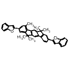 Cc1cc(-c2cc3ccccc3o2)cc2c1-c1cc3c(cc1C2(C)C)-c1ccc(-c2cc4ccccc4o2)cc1C3(C)C